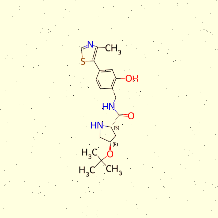 Cc1ncsc1-c1ccc(CNC(=O)[C@@H]2C[C@@H](OC(C)(C)C)CN2)c(O)c1